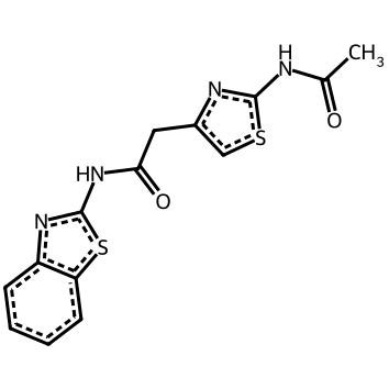 CC(=O)Nc1nc(CC(=O)Nc2nc3ccccc3s2)cs1